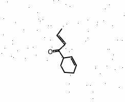 CC=CC(=O)C1C=CCCC1